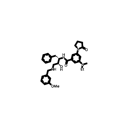 CCN(C)c1cc(C(=O)N[C@@H](Cc2ccccc2)[C@H](O)CNCc2cccc(OC)c2)cc(N2CCCC2=O)c1